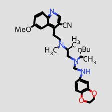 CCCC[C@H](C)N(CNc1ccc2c(c1)OCCO2)C[C@H](C)N(C)CCc1c(C#N)cnc2ccc(OC)cc12